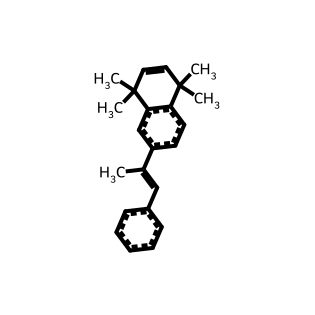 CC(=Cc1ccccc1)c1ccc2c(c1)C(C)(C)C=CC2(C)C